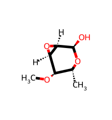 CO[C@@H]1[C@H]2O[C@H]2[C@@H](O)O[C@@H]1C